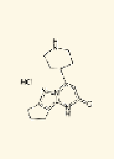 Cl.O=c1cc(C2CCNCC2)n2nc3c(c2[nH]1)CCC3